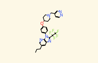 CCCc1cnc2c(c1)nc(C(F)(F)C(F)(F)F)n2-c1ccc(OC2CCN(Cc3ccnnc3)CC2)cc1